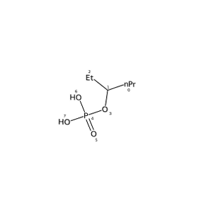 CCCC(CC)OP(=O)(O)O